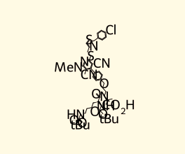 CNc1nc(SCc2csc(-c3ccc(Cl)cc3)n2)c(C#N)c(-c2ccc(OCCN(C(=O)[C@H](CCCCNC(=O)OC(C)(C)C)NC(=O)OC(C)(C)C)[C@@H](C)C(=O)O)cc2)c1C#N